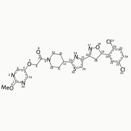 COc1ncc(OCC(=O)N2CCC(c3nc(C4=NOC(c5cc(Cl)ccc5Cl)C4)cs3)CC2)cn1